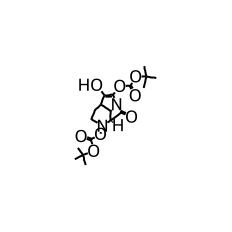 CC(C)(C)OC(=O)OC1=C(O)C2CCN(OC(=O)OC(C)(C)C)[C@@H]3C(=O)N1C23